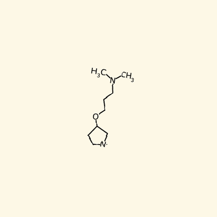 CN(C)CCCOC1CC[N]C1